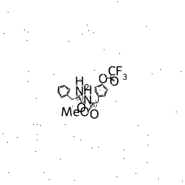 COC(=O)[C@H](Cc1ccc(OC(=O)C(F)(F)F)cc1)NC(=O)[C@@H](N)Cc1ccccc1